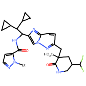 CCn1nccc1C(=O)NC(c1cn2nc(CC3(C(=O)O)CC(C(F)F)CNC3=O)ccc2n1)C(C1CC1)C1CC1